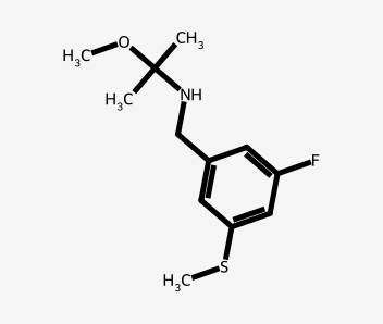 COC(C)(C)NCc1cc(F)cc(SC)c1